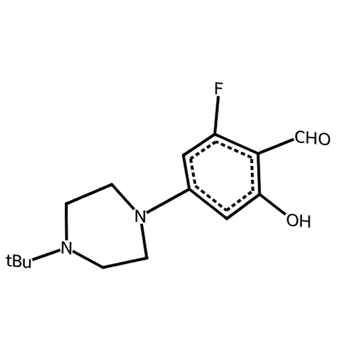 CC(C)(C)N1CCN(c2cc(O)c(C=O)c(F)c2)CC1